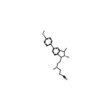 COc1ccc(-c2ccc3c(c2)C(C)[C@@H](C)C3CCN(C)CCC#N)cc1